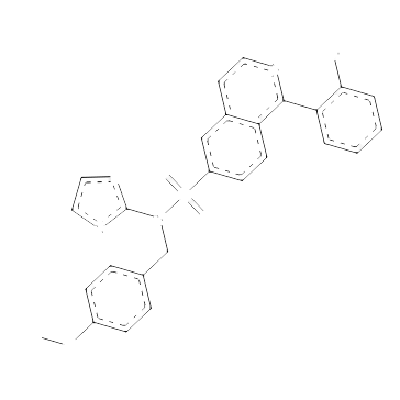 COc1ccc(CN(c2nccs2)S(=O)(=O)c2ccc3c(-c4ccccc4O)nccc3c2)cc1